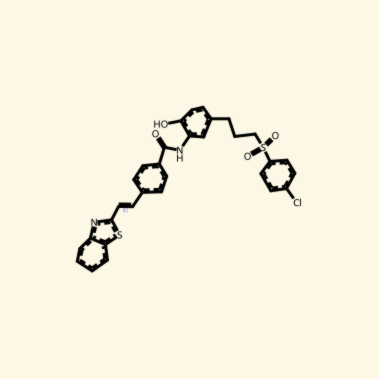 O=C(Nc1cc(CCCS(=O)(=O)c2ccc(Cl)cc2)ccc1O)c1ccc(/C=C/c2nc3ccccc3s2)cc1